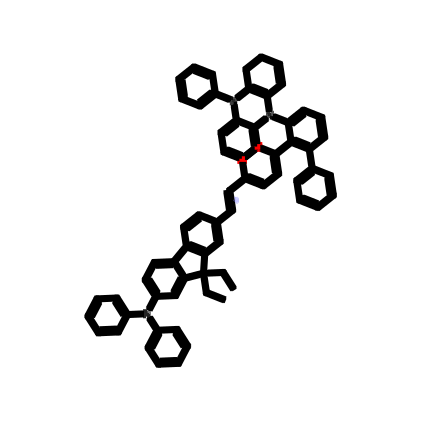 CCC1(CC)c2cc(/C=C/C3=CC=C(c4c(-c5ccccc5)cccc4N4C5=C(CCC=C5)N(c5ccccc5)c5ccccc54)CC3)ccc2-c2ccc(N(c3ccccc3)c3ccccc3)cc21